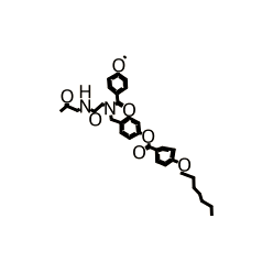 CCCCCCCOc1ccc(C(=O)Oc2ccc(CN(CC(=O)NCC(C)=O)C(=O)c3ccc(OC)cc3)cc2)cc1